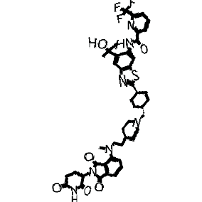 CN(CCC1CCN(C[C@H]2CC[C@H](c3nc4cc(C(C)(C)O)c(NC(=O)c5cccc(C(F)(F)F)n5)cc4s3)CC2)CC1)c1cccc2c1C(=O)N(C1CCC(=O)NC1=O)C2=O